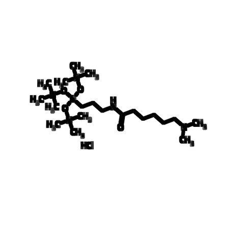 CN(C)CCCCCC(=O)NCCC[Si](O[Si](C)(C)C)(O[Si](C)(C)C)O[Si](C)(C)C.Cl